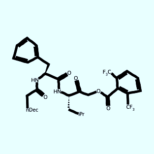 CCCCCCCCCCCC(=O)N[C@@H](Cc1ccccc1)C(=O)N[C@@H](CC(C)C)C(=O)COC(=O)c1c(C(F)(F)F)cccc1C(F)(F)F